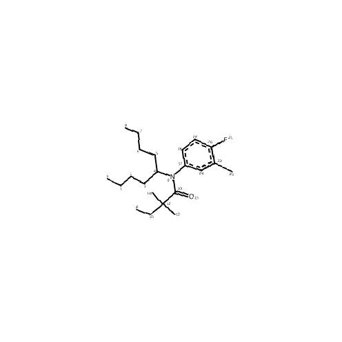 CCCCC(CCCC)N(C(=O)C(C)(C)CC)c1ccc(F)c(C)c1